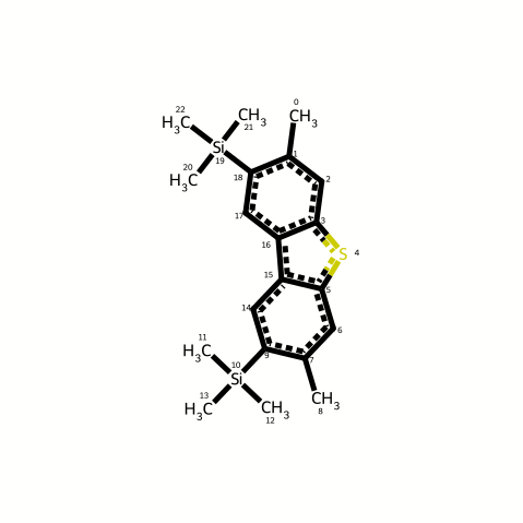 Cc1cc2sc3cc(C)c([Si](C)(C)C)cc3c2cc1[Si](C)(C)C